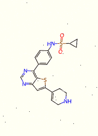 O=S(=O)(Nc1ccc(-c2ncnc3cc(C4=CCNCC4)sc23)cc1)C1CC1